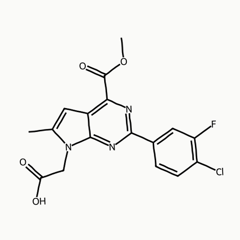 COC(=O)c1nc(-c2ccc(Cl)c(F)c2)nc2c1cc(C)n2CC(=O)O